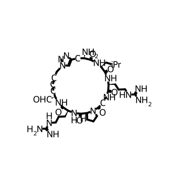 CC(C)C[C@@H]1NC(=O)[C@@H](N)Cc2cn(nn2)CCCC[C@@H](C=O)NC(=O)[C@H](CCCNC(=N)N)NC(=O)[C@@H]2CCCN2C(=O)CNC(=O)[C@H](CCCNC(=N)N)NC1=O